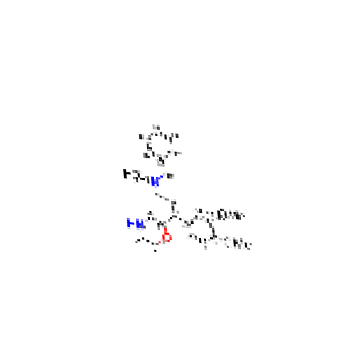 COc1ccc(C(CCN(C)Cc2ccccc2)C2CNCCO2)cc1OC